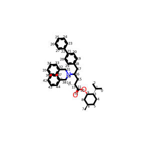 CC(C)[C@@H]1CC[C@@H](C)C[C@H]1OC(=O)[C@H](C)CC(Cc1ccc(-c2ccccc2)cc1)N(Cc1ccccc1)Cc1ccccc1